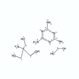 NC(CO)(CO)CO.Nc1nc(N)nc(N)n1.OCO